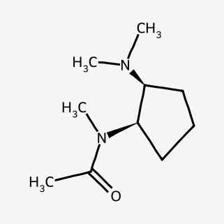 CC(=O)N(C)[C@@H]1CCC[C@@H]1N(C)C